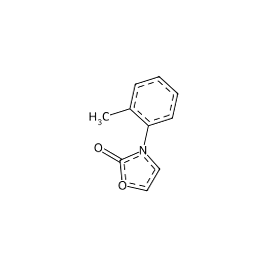 Cc1ccccc1-n1ccoc1=O